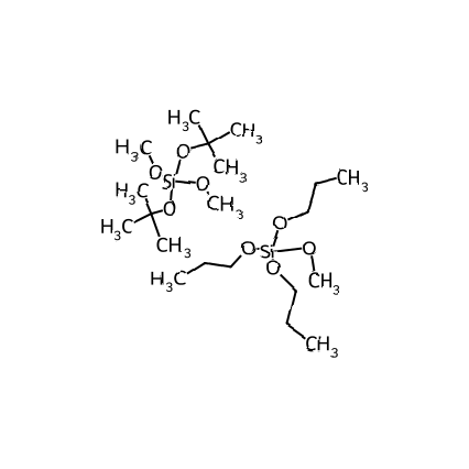 CCCO[Si](OC)(OCCC)OCCC.CO[Si](OC)(OC(C)(C)C)OC(C)(C)C